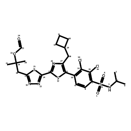 CC(C)NS(=O)(=O)c1ccc(-c2sc(-c3nnc(CC(C)(C)OC=O)s3)nc2CC2CCC2)c(Cl)c1Cl